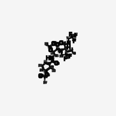 C/C=C1/C(C(=O)NCC(F)(F)F)N(C(=O)C(CNC(=O)c2cccc(OC(C)=O)c2C)OC(C)=O)CC1(F)F